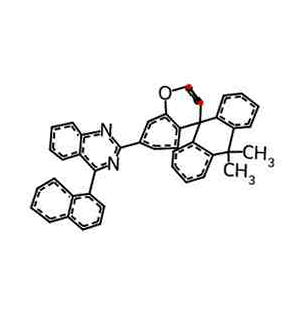 CC1(C)c2ccccc2C2(c3ccccc3Oc3cc(-c4nc(-c5cccc6ccccc56)c5ccccc5n4)ccc32)c2ccccc21